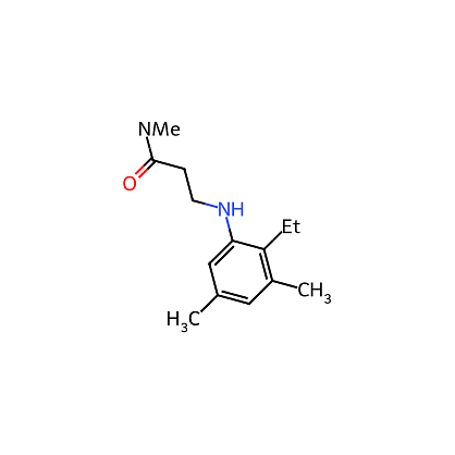 CCc1c(C)cc(C)cc1NCCC(=O)NC